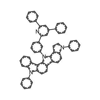 c1ccc(-c2cc(-c3ccccc3)nc(-c3cccc(-n4c5c(ccc6c5ccn6-c5ccccc5)c5ccc6c(c7ccccc7n6-c6ccccc6)c54)c3)c2)cc1